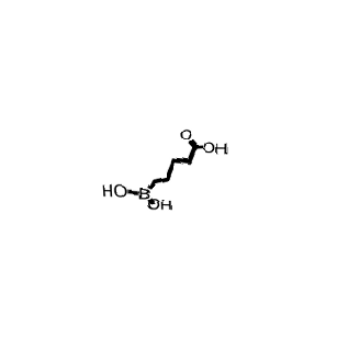 O=C(O)CCCCB(O)O